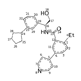 CCc1ccc(-c2ccncc2)cc1C(=O)N[C@H](CO)c1cccc(C2CCCC2)c1